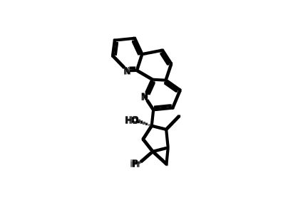 CC(C)C12CC1C(C)[C@](O)(c1ccc3ccc4cccnc4c3n1)C2